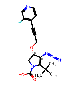 CC(C)(C)C1[C@H](N=[N+]=[N-])[C@@H](OCC#Cc2ccncc2F)CN1C(=O)O